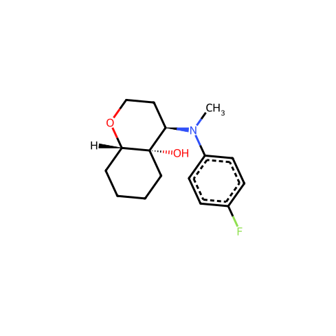 CN(c1ccc(F)cc1)[C@@H]1CCO[C@H]2CCCC[C@@]21O